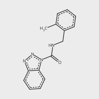 Cc1ccccc1CNC(=O)n1nnc2ccccc21